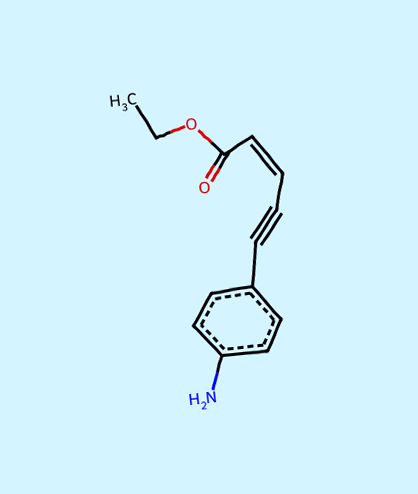 CCOC(=O)/C=C\C#Cc1ccc(N)cc1